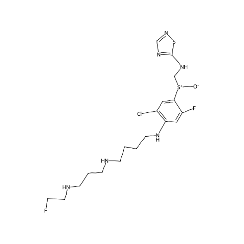 [O-][S+](CNc1ncns1)c1cc(Cl)c(NCCCCNCCCNCCF)cc1F